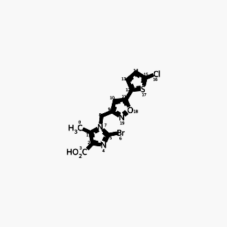 Cc1c(C(=O)O)nc(Br)n1Cc1cc(-c2ccc(Cl)s2)on1